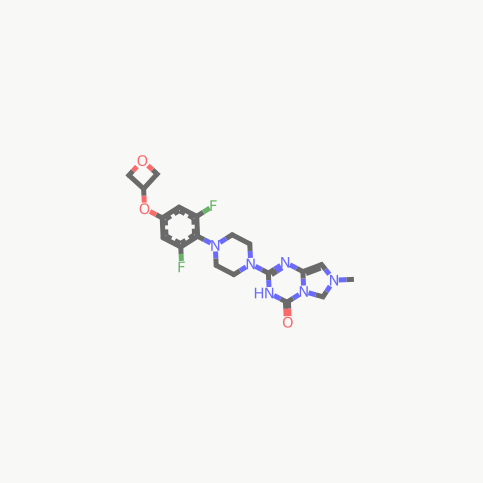 CN1C=C2N=C(N3CCN(c4c(F)cc(OC5COC5)cc4F)CC3)NC(=O)N2C1